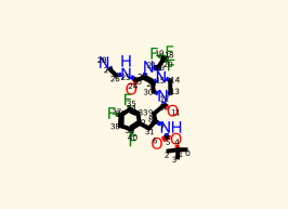 CC(C)(C)OC(=O)NC(CC(=O)N1CCn2c(C(F)(F)F)nc(C(=O)NCC#N)c2C1)Cc1cc(F)c(F)cc1F